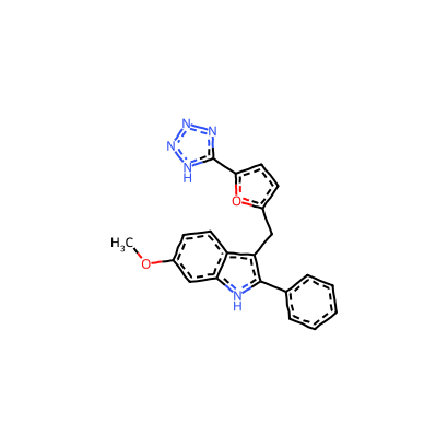 COc1ccc2c(Cc3ccc(-c4nnn[nH]4)o3)c(-c3ccccc3)[nH]c2c1